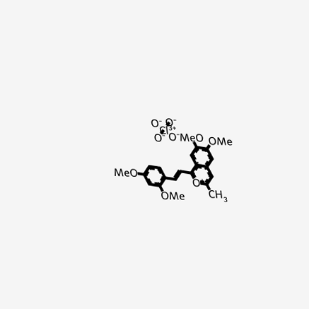 COc1ccc(C=Cc2[o+]c(C)cc3cc(OC)c(OC)cc23)c(OC)c1.[O-][Cl+3]([O-])([O-])[O-]